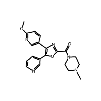 COc1ccc(-c2nc(C(=O)N3CCN(C)CC3)oc2-c2cccnc2)cn1